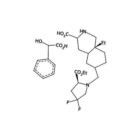 CCOC(=O)[C@@H]1CC(F)(F)CN1CC1CC[C@@]2(CC)CNC(C(=O)O)CC2C1.O=C(O)C(O)c1ccccc1